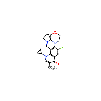 CCOC(=O)c1cn(C2CC2)c2c(CN3CCCC3)c(N3CCOCC3)c(F)cc2c1=O